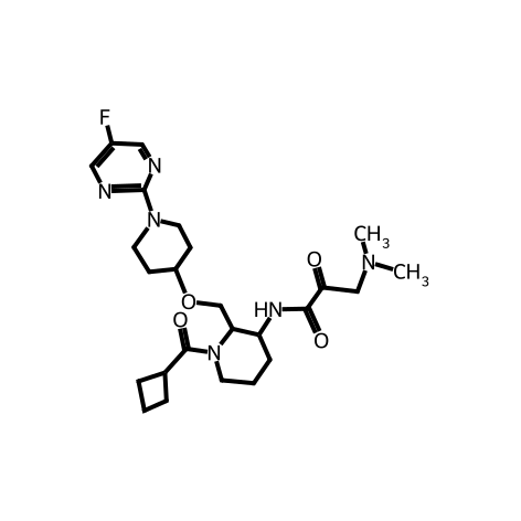 CN(C)CC(=O)C(=O)NC1CCCN(C(=O)C2CCC2)C1COC1CCN(c2ncc(F)cn2)CC1